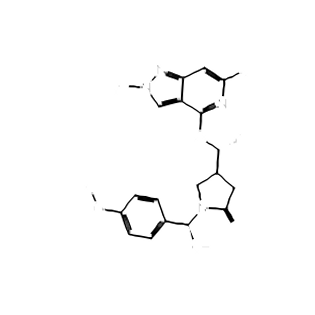 COc1ccc([C@H](C)N2CC([C@@H](C)Oc3nc(Cl)cc4nn(C)cc34)CC2=O)cc1